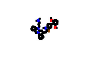 COc1cccc(OC)c1-c1ccc2c(c1)sc(C=C1C=C(NCCCN(C)C)N(Cc3ccccc3)c3ccccc31)[n+]2C